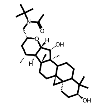 CC(=O)N(C[C@H]1C[C@@H](C)[C@H]2[C@H](O1)[C@H](O)[C@@]1(C)C3CCC4C(C)(C)[C@@H](O)CC[C@@]45C[C@@]35CC[C@]21C)C(C)(C)C